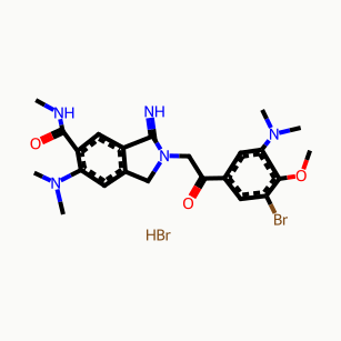 Br.CNC(=O)c1cc2c(cc1N(C)C)CN(CC(=O)c1cc(Br)c(OC)c(N(C)C)c1)C2=N